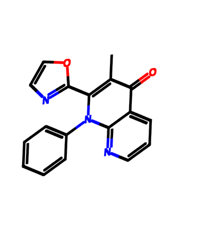 Cc1c(-c2ncco2)n(-c2ccccc2)c2ncccc2c1=O